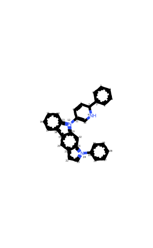 C1=CC(c2ccccc2)NC=C1n1c2ccccc2c2cc3ccn(-c4ccccc4)c3cc21